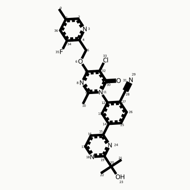 Cc1cnc(COc2nc(C)n(-c3cc(-c4ccnc(C(C)(C)O)n4)ccc3C#N)c(=O)c2Cl)c(F)c1